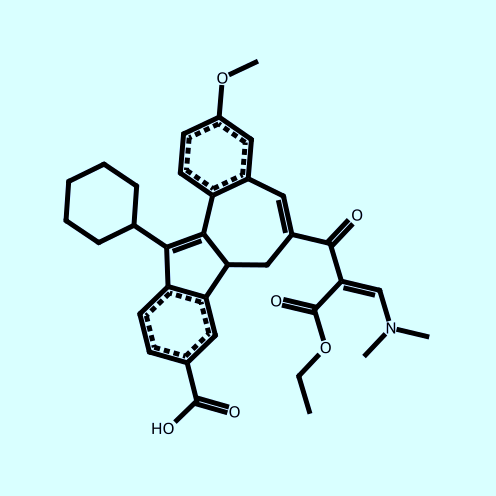 CCOC(=O)C(=CN(C)C)C(=O)C1=Cc2cc(OC)ccc2C2=C(C3CCCCC3)c3ccc(C(=O)O)cc3C2C1